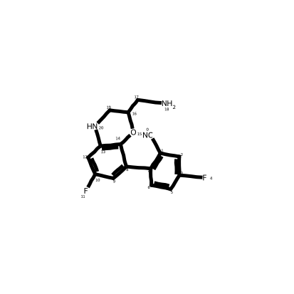 N#Cc1cc(F)ccc1-c1cc(F)cc2c1OC(CN)CN2